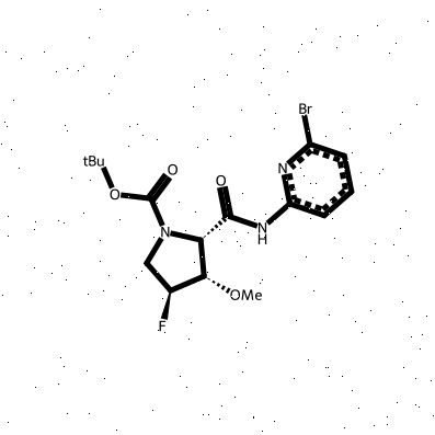 CO[C@H]1[C@@H](C(=O)Nc2cccc(Br)n2)N(C(=O)OC(C)(C)C)C[C@@H]1F